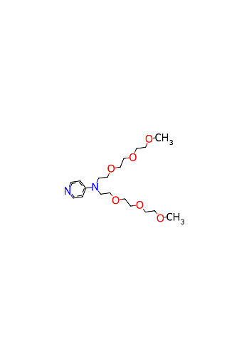 COCCOCCOCCN(CCOCCOCCOC)c1ccncc1